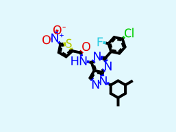 CC1CC(C)CC(n2ncc3c(NC(=O)c4ccc([N+](=O)[O-])s4)nc(-c4ccc(Cl)cc4F)nc32)C1